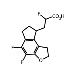 O=C(O)C(F)CC1CCc2c(F)c(F)c3c(c21)CCO3